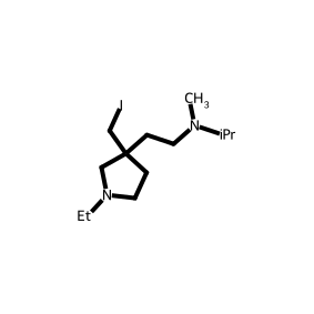 CCN1CCC(CI)(CCN(C)C(C)C)C1